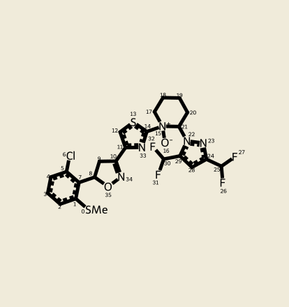 CSc1cccc(Cl)c1C1CC(c2csc([N+]3([O-])CCCCC3n3nc(C(F)F)cc3C(F)F)n2)=NO1